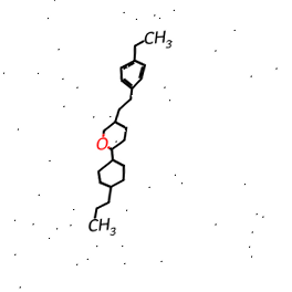 CCCC1CCC(C2CCC(CCc3ccc(CC)cc3)CO2)CC1